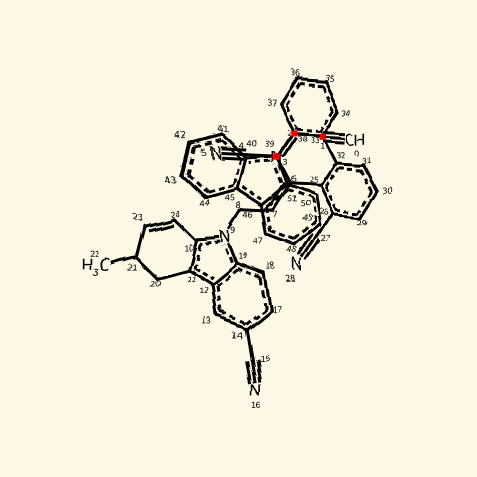 C#C/C=C(C#N)\C(=C/Cn1c2c(c3cc(C#N)ccc31)CC(C)C=C2)c1c(C#N)cccc1-c1ccccc1-n1c2ccccc2c2ccccc21